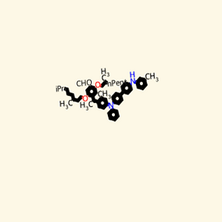 CCCCCC(C)COc1cc(C(C)c2ccc(N(c3ccccc3)c3ccc(-c4ccc(Nc5cccc(C)c5)cc4)cc3)cc2C)c(OCCC(C)CCCC(C)C)cc1C=O